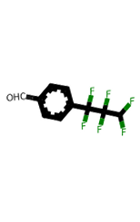 O=Cc1ccc(C(F)(F)C(F)(F)C(F)F)cc1